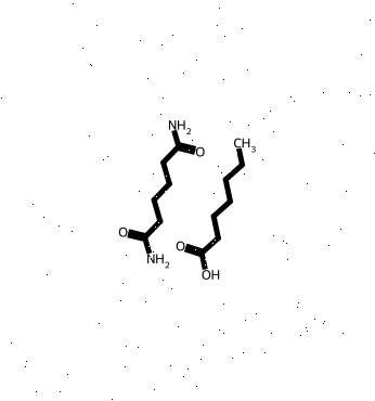 CCCCCCC(=O)O.NC(=O)CCCCC(N)=O